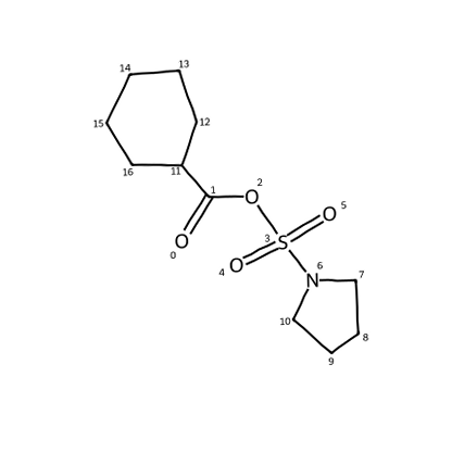 O=C(OS(=O)(=O)N1CCCC1)C1CCCCC1